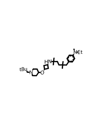 CCN(C)c1ccc(CC(C)(C)CCC(C)(C)N[C@H]2C[C@H](OC3CCN(CC(C)(C)C)CC3)C2)cc1